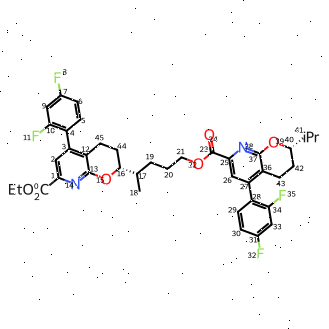 CCOC(=O)c1cc(-c2ccc(F)cc2F)c2c(n1)O[C@@H](C(C)CCCOC(=O)c1cc(-c3ccc(F)cc3F)c3c(n1)O[C@H](C(C)C)CC3)CC2